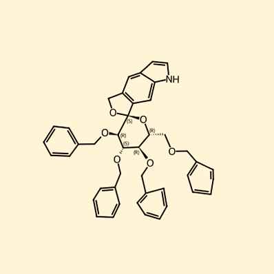 c1ccc(COC[C@H]2O[C@]3(OCc4cc5cc[nH]c5cc43)[C@H](OCc3ccccc3)[C@@H](OCc3ccccc3)[C@@H]2OCc2ccccc2)cc1